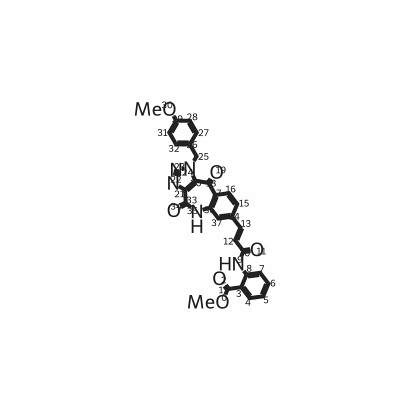 COC(=O)c1ccccc1NC(=O)C=Cc1ccc2c(=O)c3c(nnn3Cc3ccc(OC)cc3)c(=O)[nH]c2c1